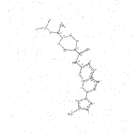 Cc1nnc(-c2cnc3cnc(NC(=O)N4CCC(N(C)CC(F)F)CC4)cc3c2)s1